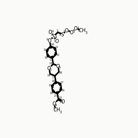 COOOSCS(=O)(=O)Oc1ccc(C2OCC(c3ccc(C(=O)OC)cc3)CO2)cc1